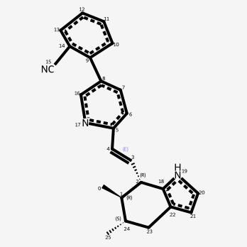 C[C@H]1[C@H](/C=C/c2ccc(-c3ccccc3C#N)cn2)c2[nH]ccc2C[C@@H]1C